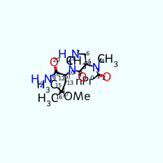 CCCC(=O)N(C)[C@H](CN)C(=O)N(C)[C@@H](CC(C)(C)OC)C(N)=O